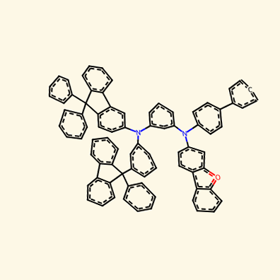 c1ccc(-c2ccc(N(c3cccc(N(c4cccc(C5(c6ccccc6)c6ccccc6-c6ccccc65)c4)c4ccc5c(c4)-c4ccccc4C5(c4ccccc4)c4ccccc4)c3)c3ccc4c(c3)oc3ccccc34)cc2)cc1